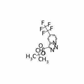 CC(C)(C)OC(=O)c1nnn2ccc(C(F)(F)C(F)(F)F)cc12